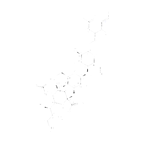 C/C=C/C(O)C(CO[C@@H]1O[C@H](CO)[C@@H](O[C@@H]2O[C@H](CO)[C@H](O)[C@H](O[C@]3(C(=O)O)C[C@H](O)[C@@H](NC(C)=O)C([C@H](O)[C@H](O)CO)O3)[C@H]2O)[C@H](O)[C@H]1O)NC(C)=O